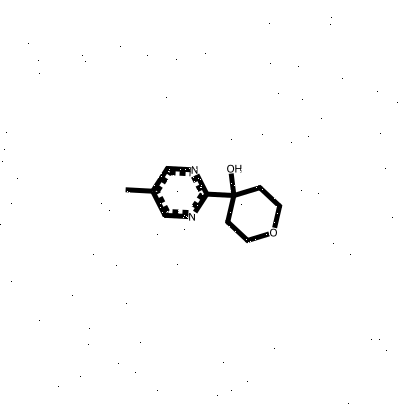 Cc1cnc(C2(O)CCOCC2)nc1